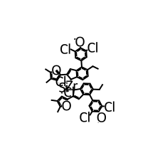 CCc1ccc2c(c1-c1cc(Cl)c(OC)c(Cl)c1)C=C(c1cc(C)c(C)o1)[CH]2[Zr]([Cl])([Cl])([CH]1C(c2cc(C)c(C)o2)=Cc2c1ccc(CC)c2-c1cc(Cl)c(OC)c(Cl)c1)=[Si](C)C